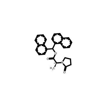 C[C@@H](C(=O)OC(c1cccc2ccccc12)c1cccc2ccccc12)N1CCCC1=O